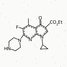 CCOC(=O)c1cn(C2CC2)c2nc(N3CCNCC3)c(F)c(C)c2c1=O